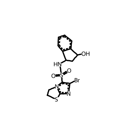 O=S(=O)(NC1CC(O)c2ccccc21)c1c(Br)nc2n1CCS2